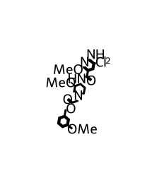 COc1cccc(COC(=O)CN2CC[C@H](NC(=O)c3cc(Cl)c(N)nc3OC)[C@H](OC)C2)c1